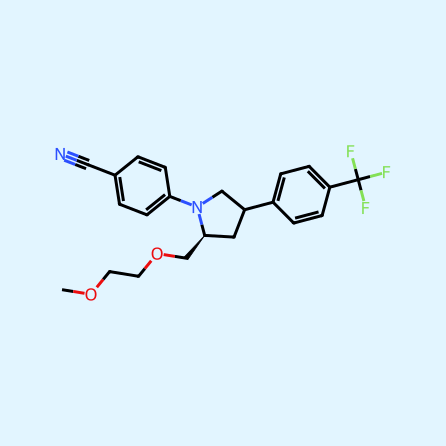 COCCOC[C@@H]1CC(c2ccc(C(F)(F)F)cc2)CN1c1ccc(C#N)cc1